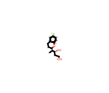 CC([C@@H](O)CCO)[C@H]1CCc2cc(F)ccc2O1